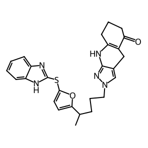 CC(CCCn1cc2c(n1)NC1=C(C2)C(=O)CCC1)c1ccc(Sc2nc3ccccc3[nH]2)o1